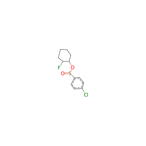 O=S(OC1CCCCC1F)c1ccc(Cl)cc1